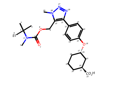 CCC(C)(C)N(C)C(=O)OCc1c(-c2ccc(O[C@H]3CCC[C@H](C(=O)O)C3)cc2)nnn1C